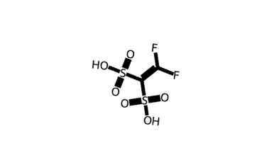 O=S(=O)(O)C(=C(F)F)S(=O)(=O)O